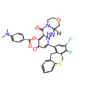 CN(C)c1ccc(C(=O)Oc2c3n(c(-c4cc(F)c(F)c5c4Cc4ccccc4SC5)cc2=O)N[C@@H]2COCCN2C3=O)cc1